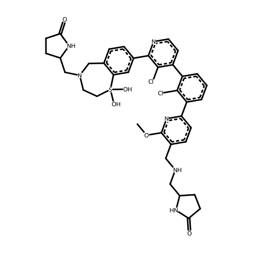 COc1nc(-c2cccc(-c3ccnc(-c4ccc5c(c4)S(O)(O)CCN(CC4CCC(=O)N4)C5)c3Cl)c2Cl)ccc1CNCC1CCC(=O)N1